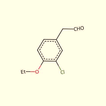 CCOc1ccc(CC=O)cc1Cl